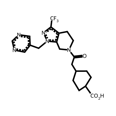 O=C(O)C1CCC(CC(=O)N2CCc3c(C(F)(F)F)nn(Cc4cncnc4)c3C2)CC1